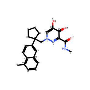 CNC(=O)c1nn(CC2(c3ccc4c(C)cccc4c3)CCCC2)cc(O)c1=O